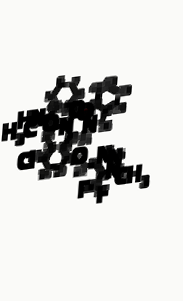 CNC(=O)[C@H]1CCCC[C@H]1C(=O)N1CCc2c(Cl)ccc(OCc3nnn(C)c3C(F)F)c2[C@H]1CN1Cc2ccccc2C1=O